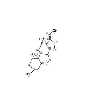 CC1CCC2(C)C(=CCC3C2CCC2(C)/C(=N/O)CCC32)C1